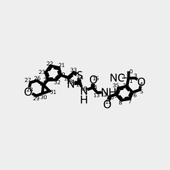 C[C@@]1(C#N)COCc2ccc(C(=O)NCC(=O)Nc3nc(-c4cccc(C56CCOCC5C6)c4)cs3)cc21